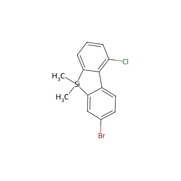 C[Si]1(C)c2cc(Br)ccc2-c2c(Cl)cccc21